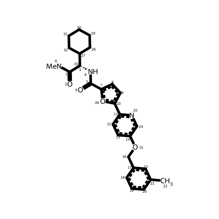 CNC(=O)[C@@H](NC(=O)c1ccc(-c2ccc(OCc3cccc(C)c3)cn2)o1)C1CCCCC1